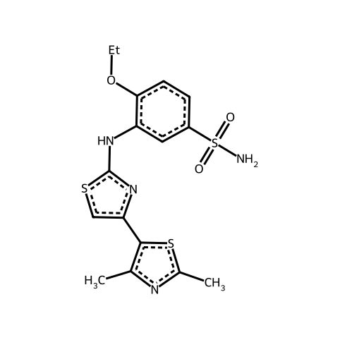 CCOc1ccc(S(N)(=O)=O)cc1Nc1nc(-c2sc(C)nc2C)cs1